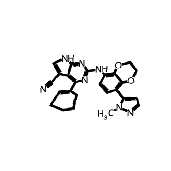 Cn1nccc1-c1ccc(Nc2nc(C3=CCCCC3)c3c(C#N)c[nH]c3n2)c2c1OCCO2